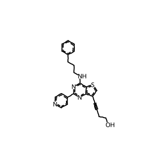 OCCC#Cc1csc2c(NCCCc3ccccc3)nc(-c3ccncc3)nc12